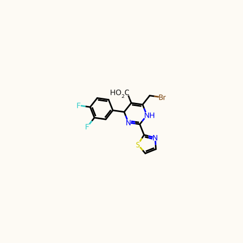 O=C(O)C1=C(CBr)NC(c2nccs2)=NC1c1ccc(F)c(F)c1